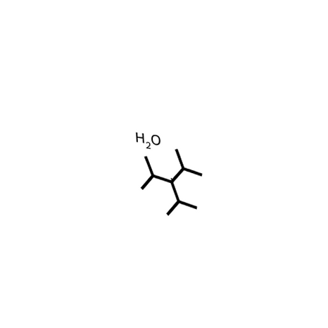 CC(C)[C](C(C)C)C(C)C.O